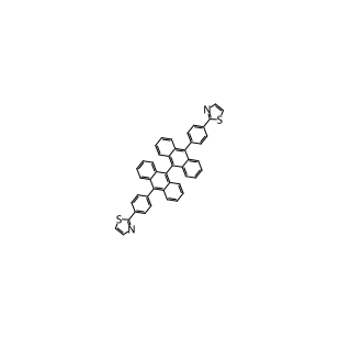 c1ccc2c(-c3c4ccccc4c(-c4ccc(-c5nccs5)cc4)c4ccccc34)c3ccccc3c(-c3ccc(-c4nccs4)cc3)c2c1